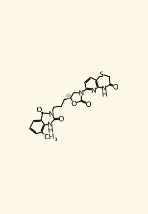 Cc1cccc2c(=O)n(CCC[C@H]3CN(c4ccc5c(n4)NC(=O)CS5)C(=O)O3)c(=O)[nH]c12